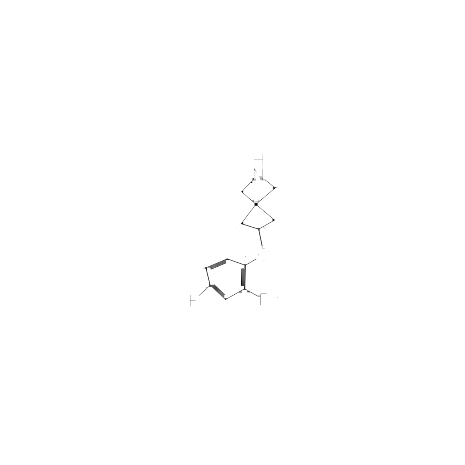 Fc1ccc(OC2CC3(CNC3)C2)c(F)c1